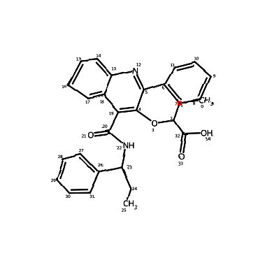 CCC(Oc1c(-c2ccccc2)nc2ccccc2c1C(=O)NC(CC)c1ccccc1)C(=O)O